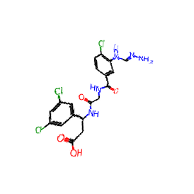 NN=CNc1cc(C(=O)NCC(=O)NC(CC(=O)O)c2cc(Cl)cc(Cl)c2)ccc1Cl